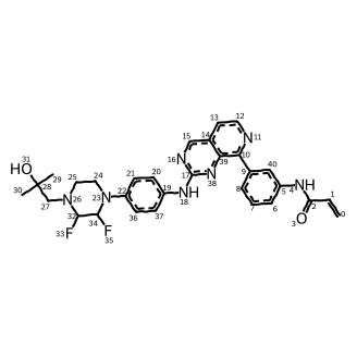 C=CC(=O)Nc1cccc(-c2nccc3cnc(Nc4ccc(N5CCN(CC(C)(C)O)C(F)C5F)cc4)nc23)c1